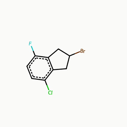 Fc1ccc(Cl)c2c1CC(Br)C2